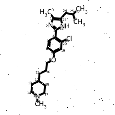 Cc1nc(-c2ccc(OCCCC3CCN(C)CC3)cc2Cl)[nH]c1CC(C)C